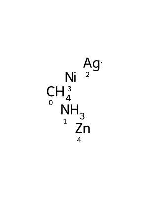 C.N.[Ag].[Ni].[Zn]